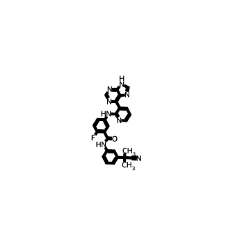 CC(C)(C#N)c1cccc(NC(=O)c2cc(Nc3ncccc3-c3ncnc4[nH]cnc34)ccc2F)c1